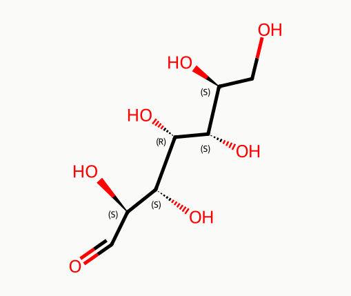 O=C[C@@H](O)[C@@H](O)[C@H](O)[C@@H](O)[C@@H](O)CO